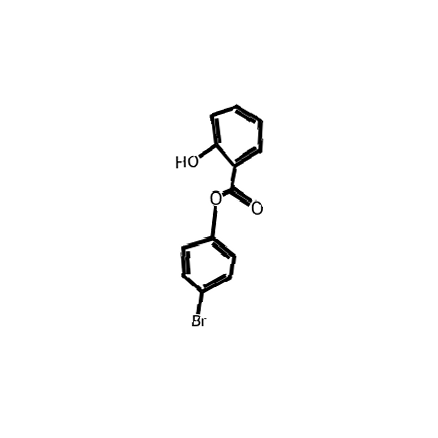 O=C(Oc1ccc(Br)cc1)c1ccccc1O